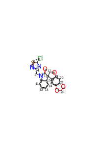 O=C1N(Cc2nsc(Cl)n2)c2ccccc2C12COc1cc3c(cc12)OCO3